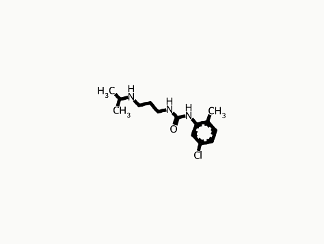 Cc1ccc(Cl)cc1NC(=O)NCCCNC(C)C